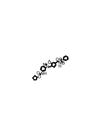 COc1cc(C(=O)NS(=O)(=O)c2ccccc2)ccc1Cn1cnc2ccc(NC(=O)OC3CCCC3)cc21